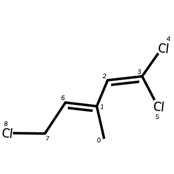 C/C(C=C(Cl)Cl)=C\CCl